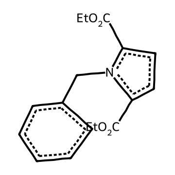 CCOC(=O)c1ccc(C(=O)OCC)n1Cc1ccccc1